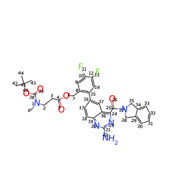 CN(CCC(=O)OCc1cc(F)c(F)cc1-c1ccc2nc(N)nc(C(=O)N3Cc4ccccc4C3)c2c1)C(=O)OC(C)(C)C